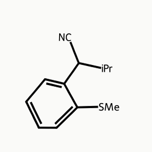 CSc1ccccc1C(C#N)C(C)C